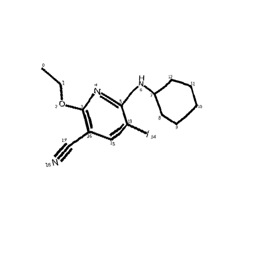 CCOc1nc(NC2CC[CH]CC2)c(I)cc1C#N